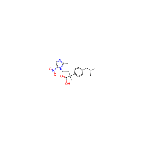 Cc1ncc([N+](=O)[O-])n1CCC(C)(C(=O)O)c1ccc(CC(C)C)cc1